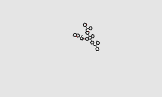 C1=CCC(/C(=C/c2ccc(-c3c4ccccc4c(-c4ccc(C=C(c5ccccc5)c5ccccc5)cc4)c4cc(-c5ccc(-c6ccc7ccccc7c6)s5)ccc34)cc2)c2ccccc2)C=C1